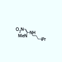 CN/C(=C\[N+](=O)[O-])NCCCC(C)C